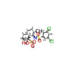 Cc1ccc2ccccc2c1N(OP(C)(=O)O)S(=O)(=O)c1cc(Cl)cc(Cl)c1